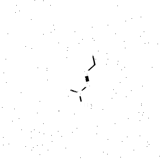 CCN=NN(C)C